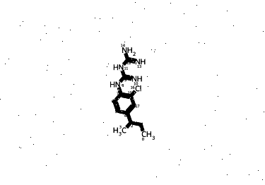 CCC(C)c1ccc(NC(=N)NC(=N)N)c(Cl)c1